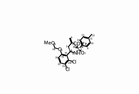 C=C(C[C@@H](NS(=O)(=O)c1ccc(C)cc1)c1c(OCOC)ccc(Cl)c1Cl)C(=O)OCC